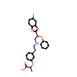 CC(Oc1cccc(CCNCC(Oc2ccccc2)c2nc3cc(F)ccc3o2)c1)C(=O)O